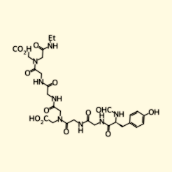 CCNC(=O)CN(CC(=O)O)C(=O)CNC(=O)CNC(=O)CN(CC(=O)O)C(=O)CNC(=O)CNC(=O)[C@H](Cc1ccc(O)cc1)NC=O